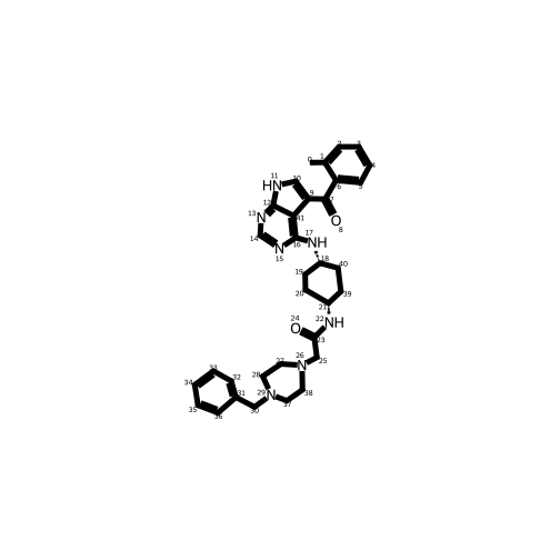 Cc1ccccc1C(=O)c1c[nH]c2ncnc(N[C@H]3CC[C@@H](NC(=O)CN4CCN(Cc5ccccc5)CC4)CC3)c12